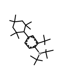 CC1(C)CC(C)(C)C(c2ccc(N(C(C)(C)C)C(C)(C)C)c(C(C)(C)C)c2)C(C)(C)C1